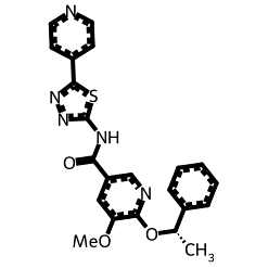 COc1cc(C(=O)Nc2nnc(-c3ccncc3)s2)cnc1O[C@@H](C)c1ccccc1